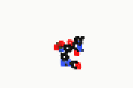 CNC(=O)c1c(-c2ccc(C)cc2)oc2cc(N(C)S(C)(=O)=O)c(-c3ccc4ncn(C5CCOCC5)c4c3)cc12